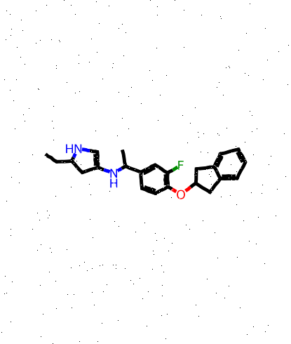 CCC1CC(NC(C)c2ccc(OC3Cc4ccccc4C3)c(F)c2)=CN1